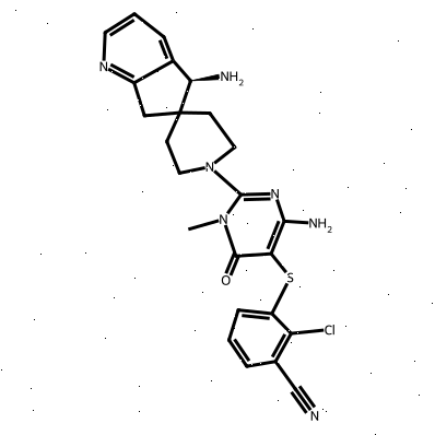 Cn1c(N2CCC3(CC2)Cc2ncccc2[C@H]3N)nc(N)c(Sc2cccc(C#N)c2Cl)c1=O